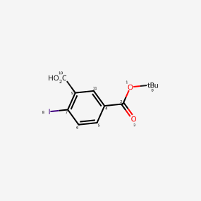 CC(C)(C)OC(=O)c1ccc(I)c(C(=O)O)c1